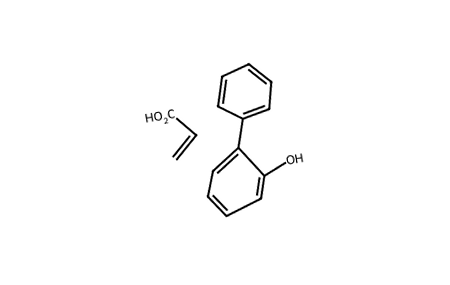 C=CC(=O)O.Oc1ccccc1-c1ccccc1